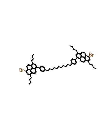 CCCCc1cc(Br)c2ccc3c(CCCC)cc(-c4ccc(CCCCCCCCCCCc5ccc(-c6cc(CCCC)c7ccc8c(Br)cc(CCCC)c9ccc6c7c89)cc5)cc4)c4ccc1c2c34